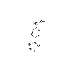 NNC(=O)c1ccc(NO)cc1